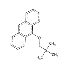 CS(C)(C)COc1c2ccccc2cc2ccccc12